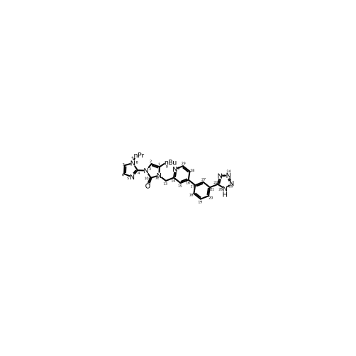 CCCCc1cn(-c2nccn2CCC)c(=O)n1Cc1cc(-c2cccc(-c3nnn[nH]3)c2)ccn1